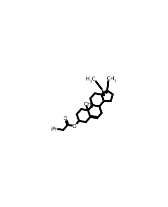 CC(C)CC(=O)OC1CCC2(C)C(=CCC3C2CCC24CN(C)C(C)C2CCC34)C1